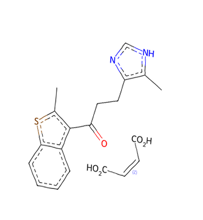 Cc1[nH]cnc1CCC(=O)c1c(C)sc2ccccc12.O=C(O)/C=C\C(=O)O